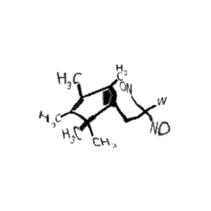 CC1=C(C)C(C)(C)C(C[C]([W])(N=O)N=O)=C1C